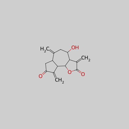 C=C1CC(O)C2C(=C)C(=O)OC2C2C(=C)C(=O)CC12